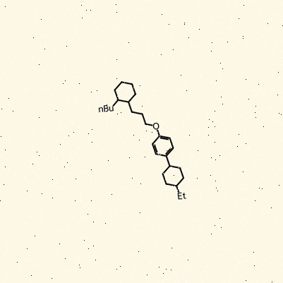 CCCCC1CCCCC1CCCOc1ccc(C2CCC(CC)CC2)cc1